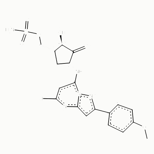 COc1ccc(-c2cc3nc(Cl)cc(N[C@@H]4C[C@H](COS(N)(=O)=O)[C@@H](O)C4=O)n3n2)cc1